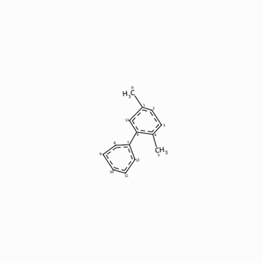 Cc1ccc(C)c(-c2cc[c]cc2)c1